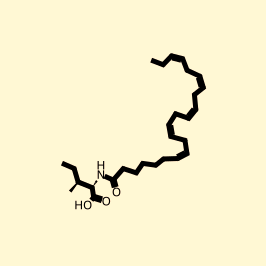 CC/C=C\C/C=C\C/C=C\C/C=C\C/C=C\CCCCCC(=O)N[C@H](C(=O)O)[C@@H](C)CC